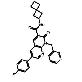 O=C(NC1CC2(CCC2)C1)c1cc2cc(-c3ccc(F)cc3)cnc2n(Cc2cccnc2)c1=O